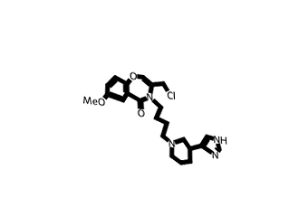 COc1ccc2c(c1)C(=O)N(CCCCN1CCCC(c3c[nH]cn3)C1)C(CCl)=CO2